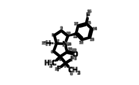 CC(F)(F)C1(C)C[C@H]2CC[C@@H](c3cccc(F)c3)N2C1=O